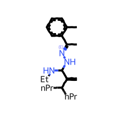 C=C(C(CCC)CCC)C(NCC)N/N=C(\C)c1ccccc1C